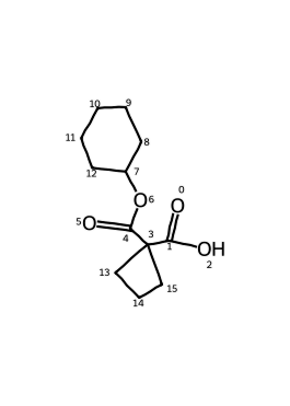 O=C(O)C1(C(=O)OC2CCCCC2)CCC1